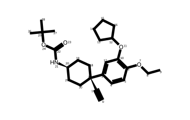 C#C[C@]1(c2ccc(OCC)c(OC3CCCC3)c2)CC[C@H](NC(=O)OC(C)(C)C)CC1